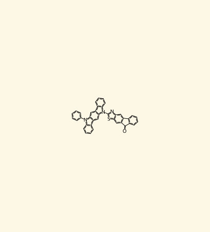 O=C1c2ccccc2-c2cc3nc(-n4c5ccccc5c5cc6c(cc54)c4ccccc4n6-c4ccccc4)sc3cc21